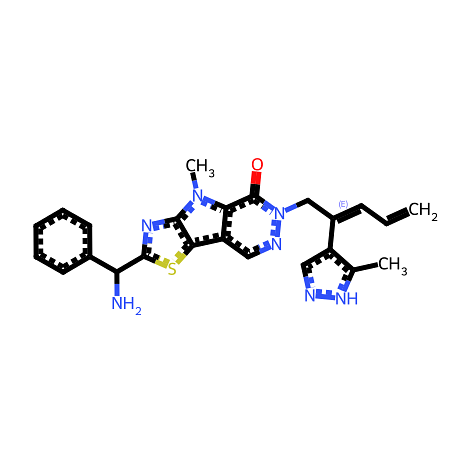 C=C/C=C(/Cn1ncc2c3sc(C(N)c4ccccc4)nc3n(C)c2c1=O)c1cn[nH]c1C